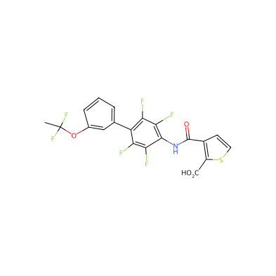 CC(F)(F)Oc1cccc(-c2c(F)c(F)c(NC(=O)c3ccsc3C(=O)O)c(F)c2F)c1